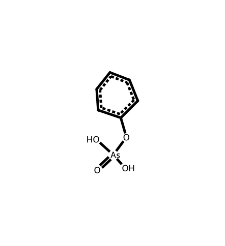 O=[As](O)(O)Oc1ccccc1